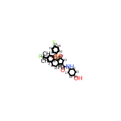 CC(F)(c1ccc2c(c1)CC[C@H]1[C@H](C(=O)N[C@H]3CC[C@H](O)CC3)CC[C@@]21S(=O)(=O)c1ccc(F)cc1)C(F)(F)F